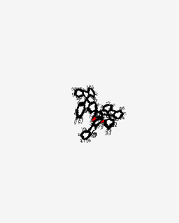 c1ccc(C2(c3ccc(N(c4ccc5sc6ccccc6c5c4)c4cccc5c4C4(c6ccccc6-c6ccccc64)c4ccccc4-5)cc3)c3ccccc3-c3ccccc32)cc1